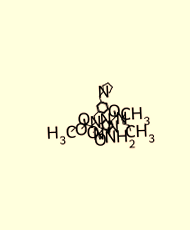 CCCN(C)C(=O)c1nc(N)c([N+](=O)[O-])c(N(CC(=O)OCC)Cc2cccc(CN3CCCC3)c2)n1